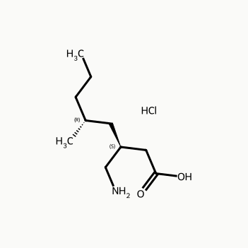 CCC[C@@H](C)C[C@H](CN)CC(=O)O.Cl